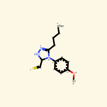 CCCCCCCCCCCCCC1=NNC(C=S)N1c1ccc(OCC)cc1